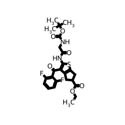 CCOC(=O)C1Cc2sc(NC(=O)CNC(=O)OC(C)(C)C)c(C(=O)c3c(F)cccc3F)c2C1